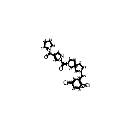 O=C(c1cnn(C(=O)N2CCC3(CCN(Cc4cc(Cl)ccc4Cl)C3)C2)c1)N1CCCC1